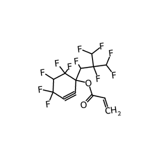 C=CC(=O)OC1(C(F)C(F)(C(F)F)C(F)F)C#CC(F)(F)C(F)C1(F)F